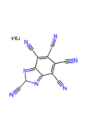 N#Cc1c(C#N)c(C#N)c2c(c1C#N)=NC(C#N)N=2.[LiH]